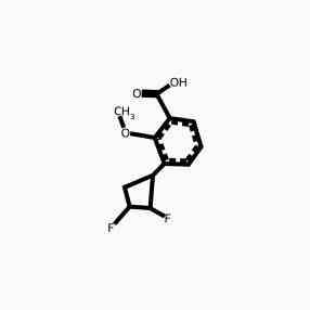 COc1c(C(=O)O)cccc1C1CC(F)C1F